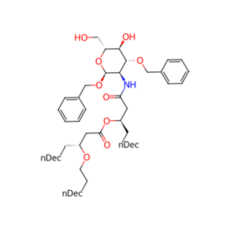 CCCCCCCCCCCCO[C@H](CCCCCCCCCCC)CC(=O)O[C@H](CCCCCCCCCCC)CC(=O)N[C@H]1[C@@H](OCc2ccccc2)O[C@H](CO)[C@@H](O)[C@@H]1OCc1ccccc1